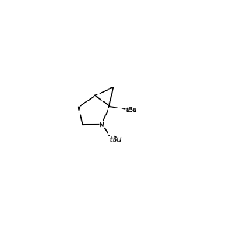 CC(C)(C)N1CCC2CC21C(C)(C)C